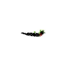 CCC/C=C/C1CCC(C2CCC(c3ccc(C4CCC(C(F)(F)Oc5cc(F)c(F)c(F)c5)CC4)c(F)c3)CC2)CC1